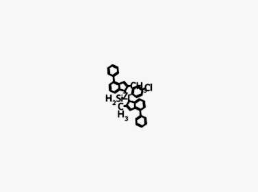 CC1=Cc2c(-c3ccccc3)cccc2[CH]1[Zr](=[SiH2])([c]1ccc(Cl)cc1)[CH]1C(C)=Cc2c(-c3ccccc3)cccc21